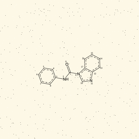 O=C(Nc1ccccc1)n1cnc2ccccc21